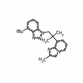 Cc1cn2cccc(C(C)(C)Cn3nnc4c(C(C)(C)C)cccc43)c2n1